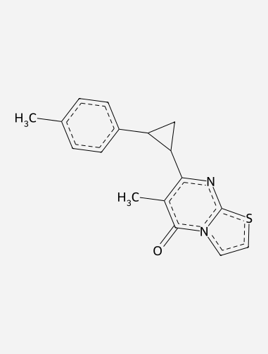 Cc1ccc(C2CC2c2nc3sccn3c(=O)c2C)cc1